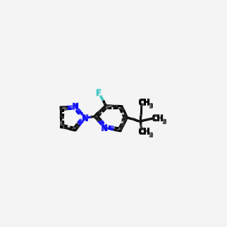 CC(C)(C)c1cnc(-n2cccn2)c(F)c1